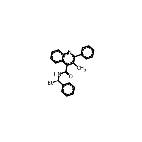 CC[C@@H](NC(=O)c1c(C)c(-c2ccccc2)nc2ccccc12)c1ccccc1